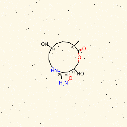 C[C@@H]1CCC[C@H](N=O)CCCN[C@H](C)[C@@H](ON)[C@H](N=O)COC1=O